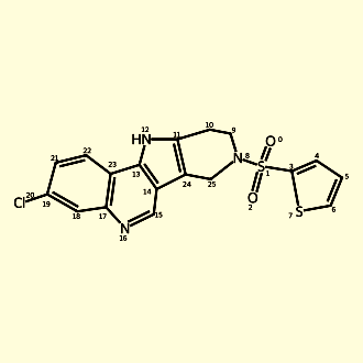 O=S(=O)(c1cccs1)N1CCc2[nH]c3c(cnc4cc(Cl)ccc43)c2C1